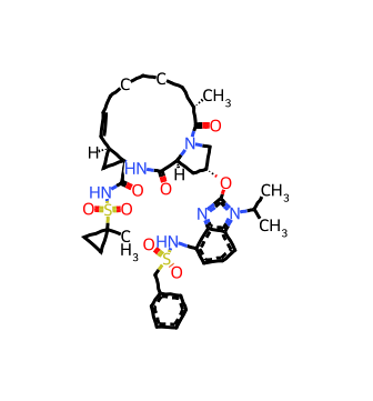 CC(C)n1c(O[C@@H]2C[C@H]3C(=O)N[C@]4(C(=O)NS(=O)(=O)C5(C)CC5)C[C@H]4/C=C\CCCCC[C@H](C)C(=O)N3C2)nc2c(NS(=O)(=O)Cc3ccccc3)cccc21